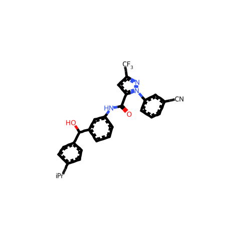 CC(C)c1ccc(C(O)c2cccc(NC(=O)c3cc(C(F)(F)F)nn3-c3cccc(C#N)c3)c2)cc1